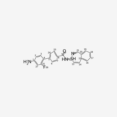 Nc1ccc(-c2ccc(C(=O)N[SH]3C=Cc4ccccc4C=N3)cc2)c(F)c1